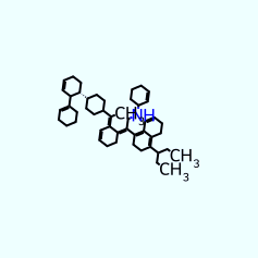 CCC(CC)C1=C2CCC=CC2=C(/C(CNC2C=CCCC2)=C2\CCC=C\C2=C(\C)C2CCC([C@H]3CCC=CC3C3=CCCCC3)CC2)CC1